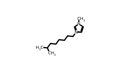 CC(C)CCCCCC[n+]1ccn(C)c1